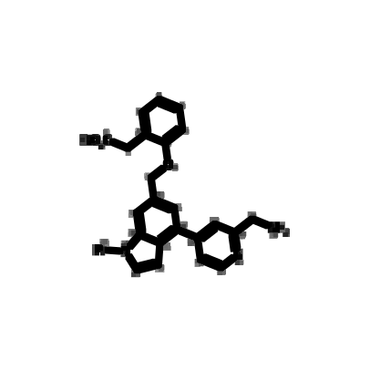 CCOC(=O)Cc1ccccc1OCc1cc(-c2ccnc(CN)c2)c2ccn(C(C)C)c2c1